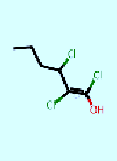 CCCC(Cl)/C(Cl)=C(/O)Cl